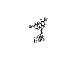 O=P(O)(O)OCCCCN1c2ccc(Br)cc2Oc2cc(Br)ccc21